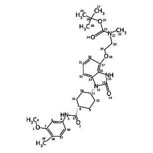 COc1cc(NC(=O)[C@H]2CC[C@@H](n3c(=O)[nH]c4c(OCCN(C)C(=O)OC(C)(C)C)cccc43)CC2)ccc1C